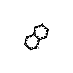 [c]1ccc2ncccc2c1